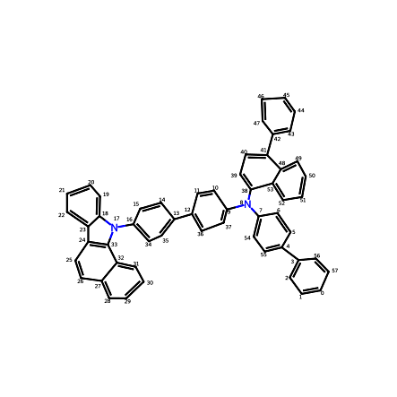 c1ccc(-c2ccc(N(c3ccc(-c4ccc(-n5c6ccccc6c6ccc7ccccc7c65)cc4)cc3)c3ccc(-c4ccccc4)c4ccccc34)cc2)cc1